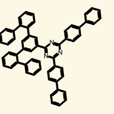 c1ccc(-c2ccc(-c3nc(-c4ccc(-c5ccccc5)cc4)nc(-c4cc(-c5ccccc5-c5ccccc5)cc(-c5ccccc5-c5ccccc5)c4)n3)cc2)cc1